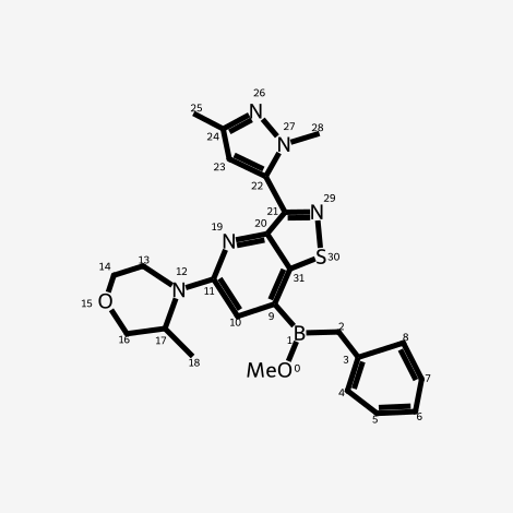 COB(Cc1ccccc1)c1cc(N2CCOCC2C)nc2c(-c3cc(C)nn3C)nsc12